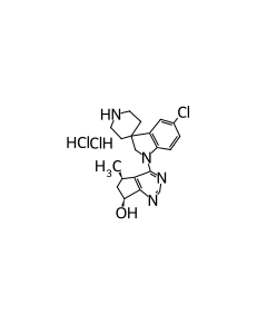 C[C@@H]1C[C@H](O)c2ncnc(N3CC4(CCNCC4)c4cc(Cl)ccc43)c21.Cl.Cl